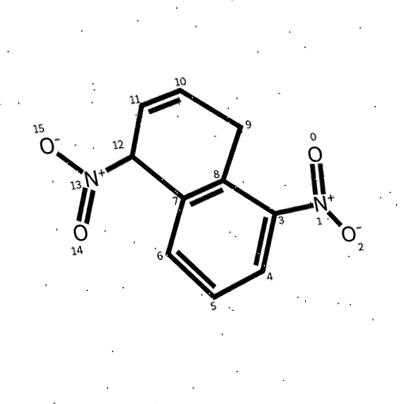 O=[N+]([O-])c1cccc2c1[CH]C=CC2[N+](=O)[O-]